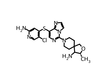 C[C@@H]1OCC2(CCN(c3ncc(Sc4cc(N)ncc4Cl)c4nccn34)CC2)C1N